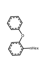 CCCCCCc1ccc[c]c1Oc1ccccc1